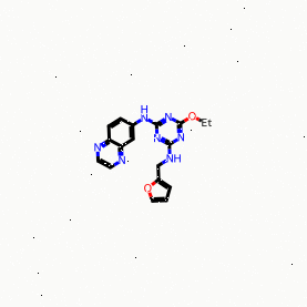 CCOc1nc(NCc2ccco2)nc(Nc2ccc3nccnc3c2)n1